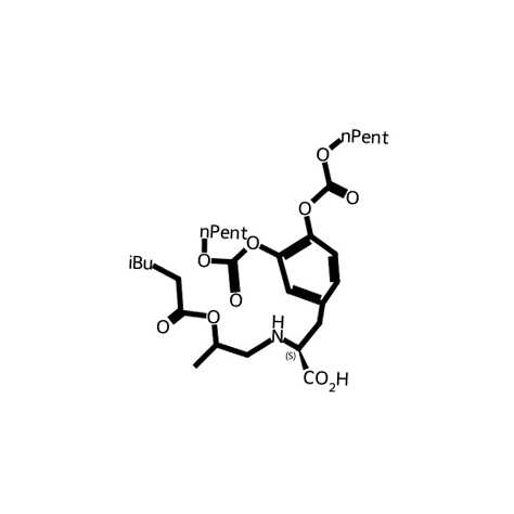 CCCCCOC(=O)Oc1ccc(C[C@H](NCC(C)OC(=O)CC(C)CC)C(=O)O)cc1OC(=O)OCCCCC